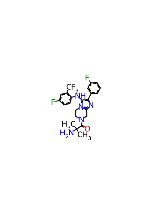 CC(C)(N)C(=O)N1CCn2c(nc(-c3cccc(F)c3)c2Nc2ccc(F)cc2C(F)(F)F)C1